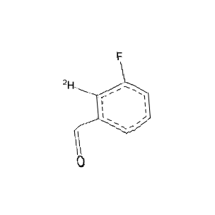 [2H]c1c(F)cccc1C=O